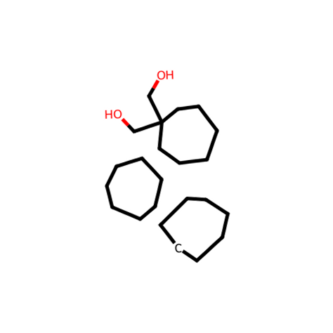 C1CCCCCC1.C1CCCCCC1.OCC1(CO)CCCCCC1